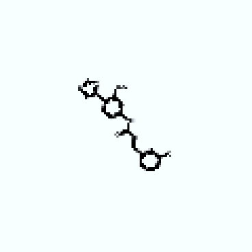 COc1cc(NC(=O)C=Cc2cccc(Cl)c2)ccc1-c1cnco1